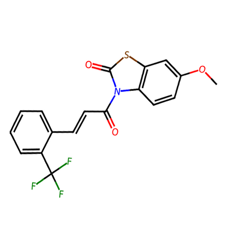 COc1ccc2c(c1)sc(=O)n2C(=O)C=Cc1ccccc1C(F)(F)F